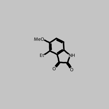 CCc1c(OC)ccc2c1C(=O)C(=O)N2